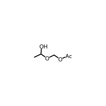 CC(=O)OCOC(C)O